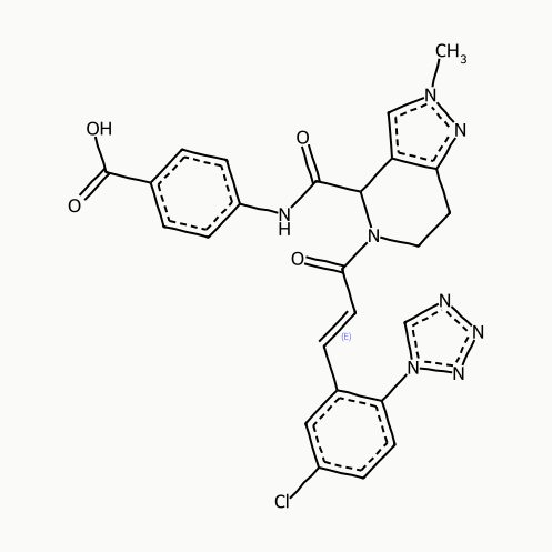 Cn1cc2c(n1)CCN(C(=O)/C=C/c1cc(Cl)ccc1-n1cnnn1)C2C(=O)Nc1ccc(C(=O)O)cc1